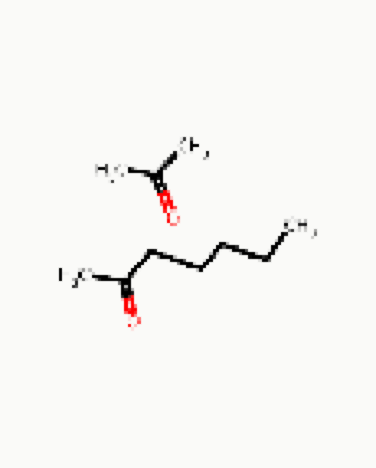 CC(C)=O.CCCCCC(C)=O